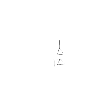 C1CO1.CC1CO1.COC